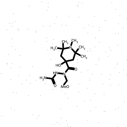 COCN(NC(N)=O)C(=O)C1(O)CC(C)(C)N(C)C(C)(C)C1